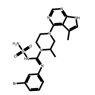 Cc1c[nH]c2ncnc(N3CCN(C(=Nc4cccc(Br)c4)NS(N)(=O)=O)C(C)C3)c12